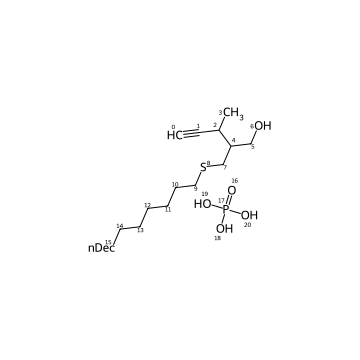 C#CC(C)C(CO)CSCCCCCCCCCCCCCCCC.O=P(O)(O)O